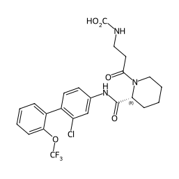 O=C(O)NCCC(=O)N1CCCC[C@@H]1C(=O)Nc1ccc(-c2ccccc2OC(F)(F)F)c(Cl)c1